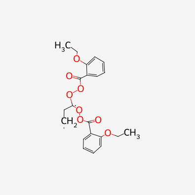 [CH2]C[C](OOC(=O)c1ccccc1OCC)OOC(=O)c1ccccc1OCC